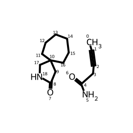 CC#CCC(N)=O.O=C1CC2(CCCCCC2)CN1